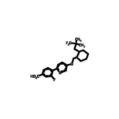 CC(C)(CC1CCCCN1COc1ccc(-c2ccc(C(=O)O)cc2F)nc1)C(F)(F)F